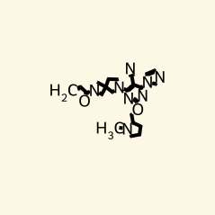 C=CC(=O)N1CC2(CCN(c3nc(OCC4CCCN4C)nc(-n4ccnc4)c3C#N)C2)C1